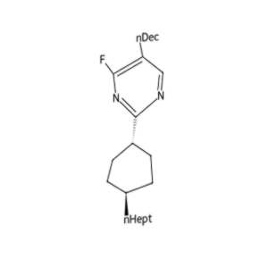 CCCCCCCCCCc1cnc([C@H]2CC[C@H](CCCCCCC)CC2)nc1F